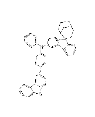 c1ccc(N(c2ccc(-c3ccc4oc5ccccc5c4c3)cc2)c2ccc3c(c2)-c2ccccc2C32CCC3CCCC2C3)cc1